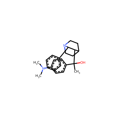 CN(C)c1ccc(C(C)(O)C2C3CCN(CC3)C2c2ccccc2)cc1